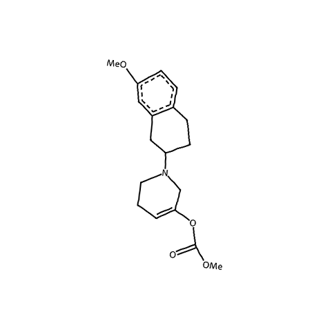 COC(=O)OC1=CCCN(C2CCc3ccc(OC)cc3C2)C1